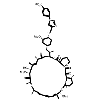 CO[C@H]1C[C@@H]2CC[C@@H](C)[C@@](O)(O2)C(=O)C(=O)N2CCCC[C@H]2C(=O)O[C@H]([C@H](C)C[C@@H]2CC[C@@H](OCc3cn(-c4ccc(C(=O)O)cc4)nn3)[C@H](OC)C2)CC(=O)[C@H](C)/C=C(\C)[C@@H](O)[C@@H](OC)C(=O)[C@H](C)C[C@H](C)/C=C/C=C/C=C/1C